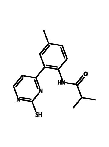 Cc1ccc(NC(=O)C(C)C)c(-c2ccnc(S)n2)c1